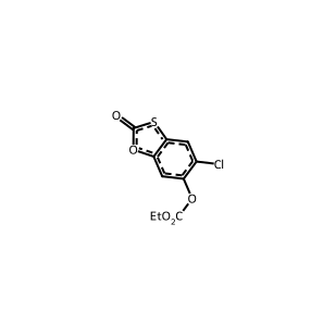 CCOC(=O)Oc1cc2oc(=O)sc2cc1Cl